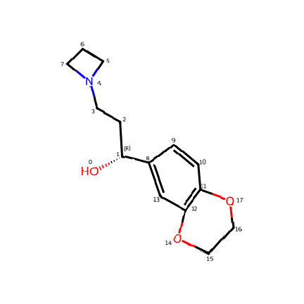 O[C@H](CCN1CCC1)c1ccc2c(c1)OCCO2